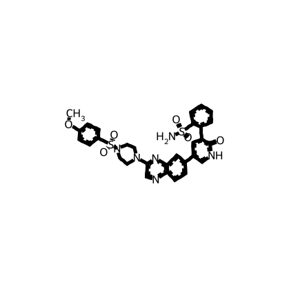 COc1ccc(S(=O)(=O)N2CCN(c3cnc4ccc(-c5c[nH]c(=O)c(-c6ccccc6S(N)(=O)=O)c5)cc4n3)CC2)cc1